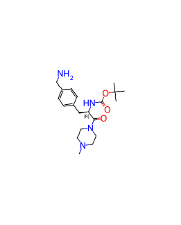 CN1CCN(C(=O)[C@@H](Cc2ccc(CN)cc2)NC(=O)OC(C)(C)C)CC1